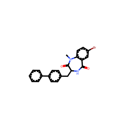 CN1C(=O)C(Cc2ccc(-c3ccccc3)cc2)NC(=O)c2cc(Br)ccc21